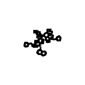 CC(C)CC(NC(=O)[C@@H](Cc1c[nH]cn1)NC(=O)[C@H](Cc1cccc2ccccc12)NC(=O)OCc1ccccc1)C(C=O)CC(=O)OCc1ccccc1